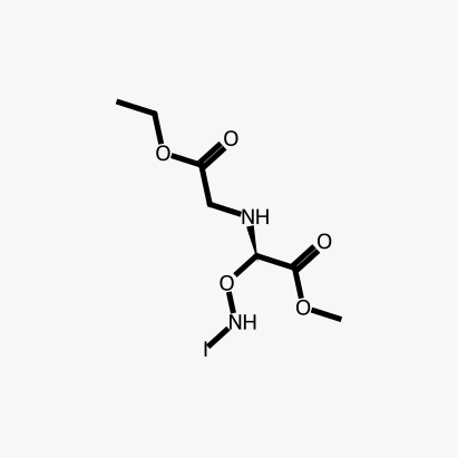 CCOC(=O)CN[C@H](ONI)C(=O)OC